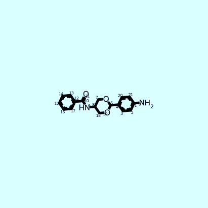 Nc1ccc(C2OCC(NC(=O)c3ccccc3)CO2)cc1